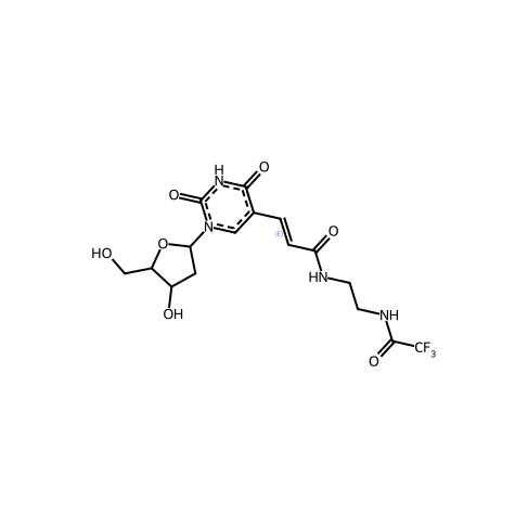 O=C(/C=C/c1cn(C2CC(O)C(CO)O2)c(=O)[nH]c1=O)NCCNC(=O)C(F)(F)F